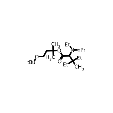 CCCN(CC)C(C(=O)OC(C)(C)CCOC(C)(C)C)C(C)(CC)CC